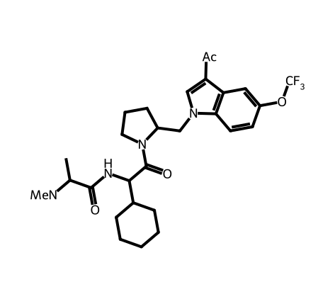 CNC(C)C(=O)NC(C(=O)N1CCCC1Cn1cc(C(C)=O)c2cc(OC(F)(F)F)ccc21)C1CCCCC1